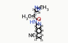 C[C@@H]1[C@H](C(=O)Nc2cc3cc([C@]4(C#N)CC45CC5)ccc3cn2)[C@H]1c1cnn(C)c1